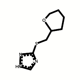 c1nc(SCC2CCCCO2)n[nH]1